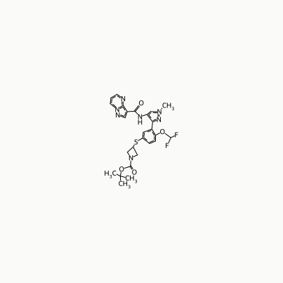 Cn1cc(NC(=O)c2cnn3cccnc23)c(-c2cc(SC3CN(C(=O)OC(C)(C)C)C3)ccc2OC(F)F)n1